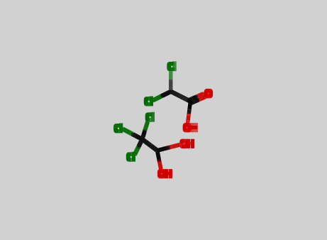 O=C(O)C(Cl)Cl.OC(O)C(Cl)(Cl)Cl